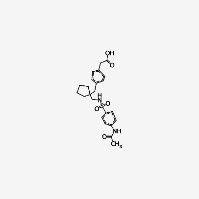 CC(=O)Nc1ccc(S(=O)(=O)NCC2(Cc3ccc(CC(=O)O)cc3)CCCC2)cc1